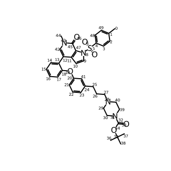 Cc1ccc(S(=O)(=O)n2ccc3c(-c4ccccc4Oc4cccc(CCCN5CCN(C(=O)OC(C)(C)C)CC5)c4)cn(C)c(=O)c32)cc1